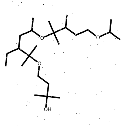 CCC(CC(C)OC(C)(C)C(C)CCOC(C)C)C(C)(C)OCCC(C)(C)O